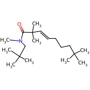 CN(CC(C)(C)C)C(=O)C(C)(C)/C=C/CCCC(C)(C)C